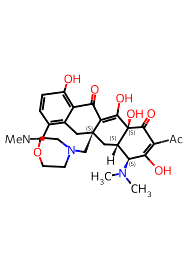 CNCc1ccc(O)c2c1C[C@@]1(CN3CCOCC3)C[C@H]3[C@H](N(C)C)C(O)=C(C(C)=O)C(=O)[C@@]3(O)C(O)=C1C2=O